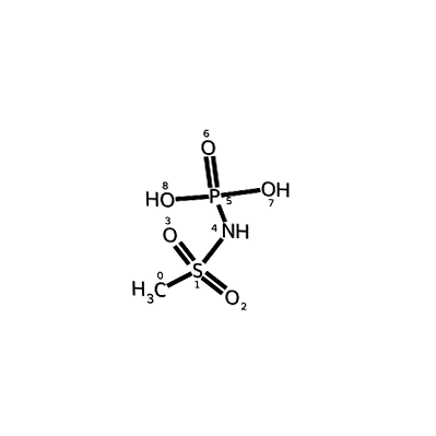 CS(=O)(=O)NP(=O)(O)O